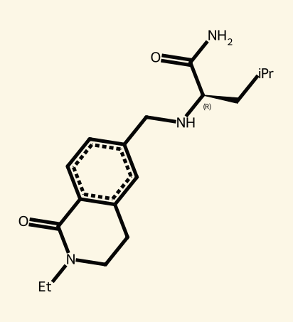 CCN1CCc2cc(CN[C@H](CC(C)C)C(N)=O)ccc2C1=O